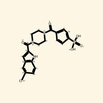 O=C(c1ccc(P(=O)(O)O)cc1)N1CCN(C(=O)c2cc3cc(Cl)ccc3[nH]2)CC1